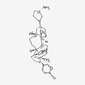 C[C@]12CC[C@H](N3CC[C@H](N)C3)C[C@H]1CC[C@@H]1[C@@H]2CC[C@]2(C)[C@@H](c3ccc(=O)oc3)CC[C@]12O